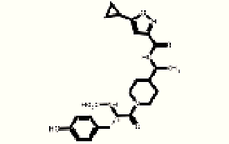 CC(NC(=O)c1cc(C2CC2)on1)C1CCN(C(=O)[C@H](Cc2ccc(O)cc2)NC(=O)O)CC1